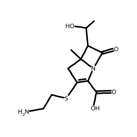 CC(O)C1C(=O)N2C(C(=O)O)=C(SCCN)CC12C